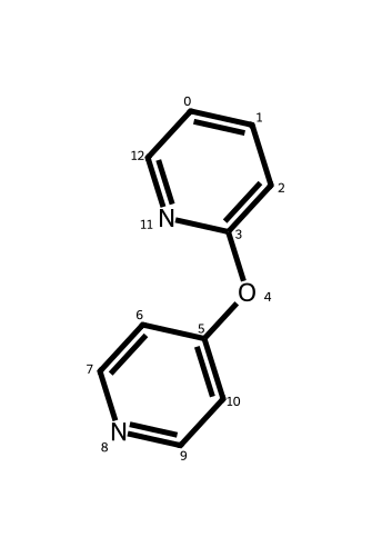 c1ccc(Oc2ccncc2)nc1